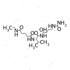 CCNC(=O)CCCC(=O)N[C@H](C(=O)N[C@H](O)CCCNC(N)=O)C(C)C